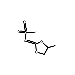 O=S(=O)(F)N=C1OCC(F)O1